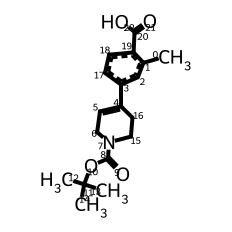 Cc1cc(C2=CCN(C(=O)OC(C)(C)C)CC2)ccc1C(=O)O